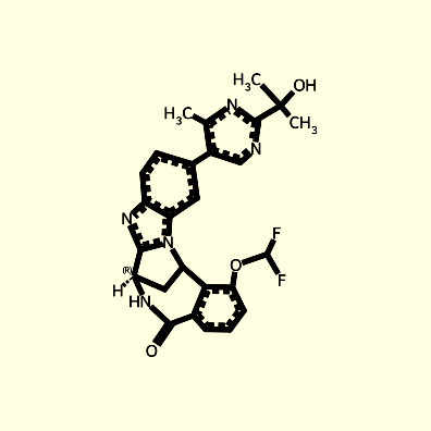 Cc1nc(C(C)(C)O)ncc1-c1ccc2nc3n(c2c1)C1C[C@H]3NC(=O)c2cccc(OC(F)F)c21